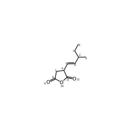 CCC(C)C=CC1CC(=O)OC1=O